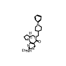 CCNc1ncc2c(n1)N1CCC[C@H]1CN(CC1CCN(c3ccccc3)CC1)C2=O